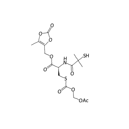 CC(=O)OCOC(=O)SC[C@H](NC(=O)C(C)(C)S)C(=O)OCc1oc(=O)oc1C